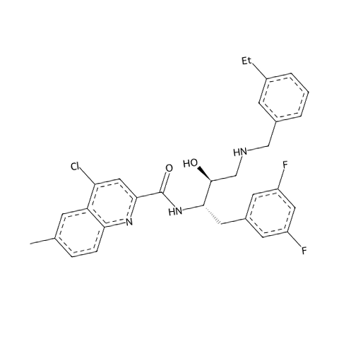 CCc1cccc(CNC[C@H](O)[C@H](Cc2cc(F)cc(F)c2)NC(=O)c2cc(Cl)c3cc(C)ccc3n2)c1